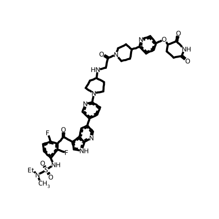 CCN(C)S(=O)(=O)Nc1ccc(F)c(C(=O)c2c[nH]c3ncc(-c4ccc(N5CCC(NCC(=O)N6CCC(c7ccc(OC8CCC(=O)NC8=O)cn7)CC6)CC5)nc4)cc23)c1F